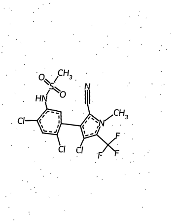 Cn1c(C#N)c(-c2cc(NS(C)(=O)=O)c(Cl)cc2Cl)c(Cl)c1C(F)(F)F